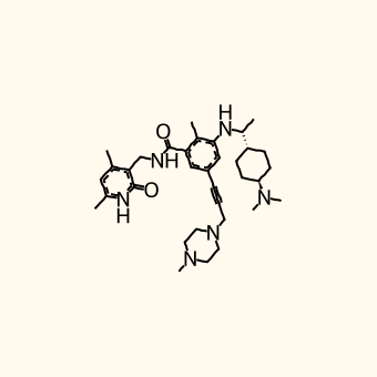 Cc1cc(C)c(CNC(=O)c2cc(C#CCN3CCN(C)CC3)cc(NC(C)[C@H]3CC[C@H](N(C)C)CC3)c2C)c(=O)[nH]1